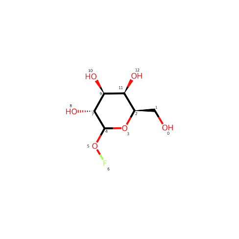 OC[C@H]1OC(OF)[C@H](O)[C@@H](O)[C@H]1O